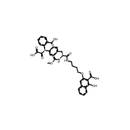 COC(=O)N[C@@H](Cc1ccc(N(C(=O)C(=O)O)c2ccccc2C(=O)O)cc1)C(=O)NCCCCOc1cc2ccccc2c(O)c1C(=O)O